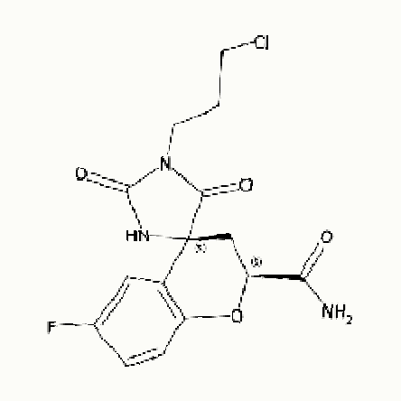 NC(=O)[C@@H]1C[C@]2(NC(=O)N(CCCCl)C2=O)c2cc(F)ccc2O1